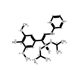 COc1cc(/C(=C/Nc2cnccn2)P(=O)(OC(C)C)OC(C)C)cc(OC)c1O